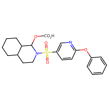 O=C(O)OC1C2CCCCC2CCN1S(=O)(=O)c1ccc(Oc2ccccc2)nc1